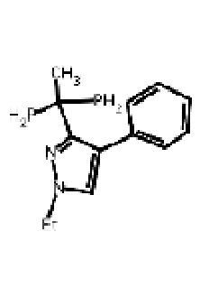 CCn1cc(-c2ccccc2)c(C(C)(P)P)n1